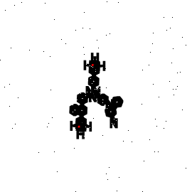 N#Cc1ccc2c(c1)c1ccccc1n2-c1ccc(-c2nc(-c3ccc(C45C[C@H]6C[C@@H](C4)C[C@@H](C5)C6)cc3)nc(-c3cccc(-c4ccc(C56C[C@H]7C[C@@H](C5)C[C@@H](C6)C7)c5ccccc45)c3)n2)cc1